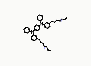 C=C/C=C/CCCc1cccc(N(c2ccccc2)c2ccc(N(c3ccccc3)c3cccc(CCC/C=C/C=C)c3)cc2)c1